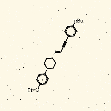 CCCCc1ccc(C#CC=C[C@H]2CC[C@H](c3ccc(OCC)cc3)CC2)cc1